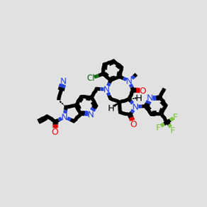 C=CC(=O)N1Cc2ncc(CN3C[C@H]4CC(=O)N(c5cc(C(F)(F)F)cc(C)n5)[C@@H]4C(=O)N(C)c4cccc(Cl)c43)cc2[C@H]1CC#N